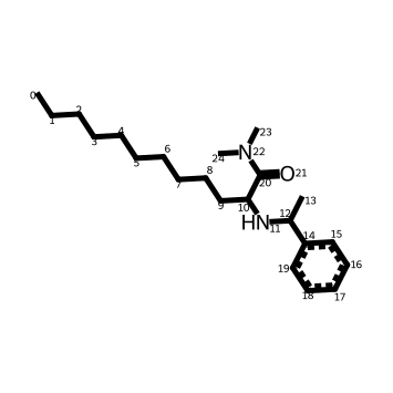 CCCCCCCCCCC(NC(C)c1ccccc1)C(=O)N(C)C